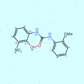 COc1ccccc1NC(=O)Nc1cccc([N+](=O)[O-])c1O